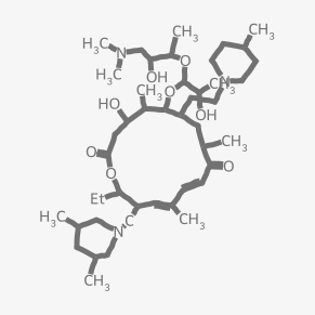 CCC1OC(=O)CC(O)C(C)C(OC(OC(C)C(O)CN(C)C)C(C)O)C(CCN2CCC(C)CC2)CC(C)C(=O)/C=C/C(C)=C/C1CN1CC(C)CC(C)C1